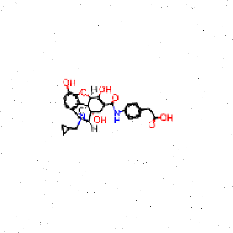 O=C(O)Cc1ccc(NC(=O)C2=C(O)[C@@H]3Oc4c(O)ccc5c4[C@@]34CCN(CC3CC3)[C@H](C5)[C@]4(O)C2)cc1